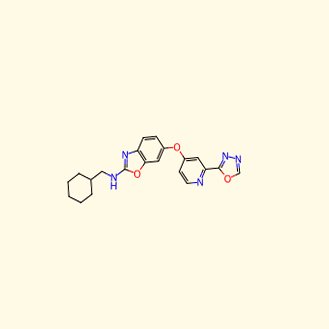 c1cc(Oc2ccc3nc(NCC4CCCCC4)oc3c2)cc(-c2nnco2)n1